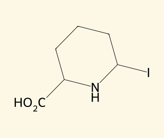 O=C(O)C1CCCC(I)N1